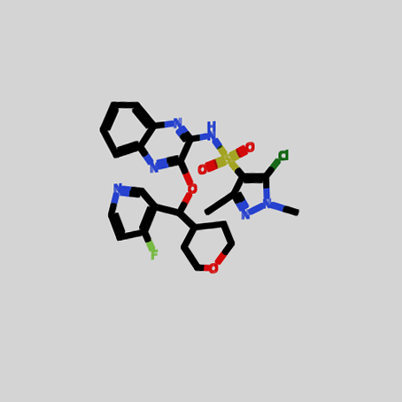 Cc1nn(C)c(Cl)c1S(=O)(=O)Nc1nc2ccccc2nc1OC(c1cnccc1F)C1CCOCC1